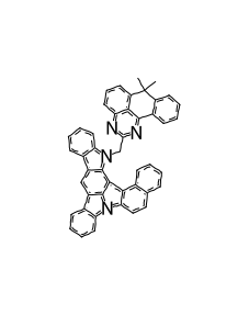 CC1(C)c2ccccc2-c2nc(Cn3c4ccccc4c4cc5c6ccccc6n6c7ccc8ccccc8c7c(c43)c56)nc3cccc1c23